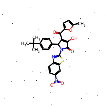 Cc1ccc(C(=O)C2=C(O)C(=O)N(c3nc4ccc([N+](=O)[O-])cc4s3)C2c2ccc(C(C)(C)C)cc2)o1